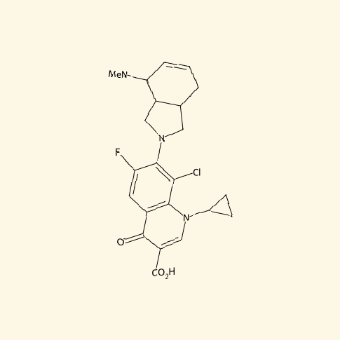 CNC1C=CCC2CN(c3c(F)cc4c(=O)c(C(=O)O)cn(C5CC5)c4c3Cl)CC21